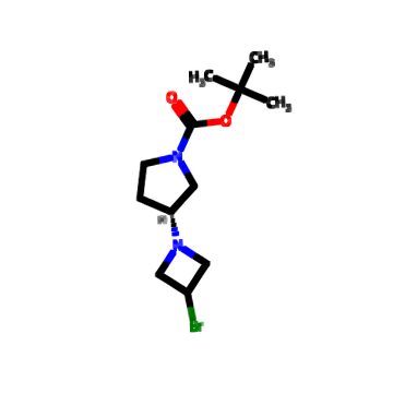 CC(C)(C)OC(=O)N1CC[C@@H](N2CC(Br)C2)C1